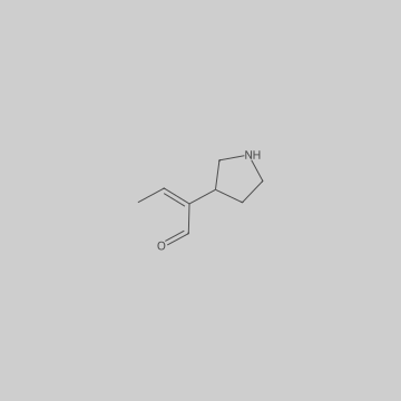 CC=C(C=O)C1CCNC1